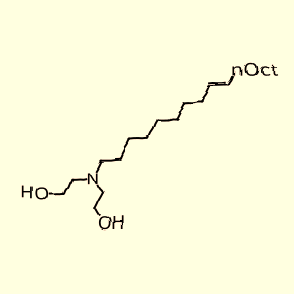 CCCCCCCC/C=C/CCCCCCCCN(CCO)CCO